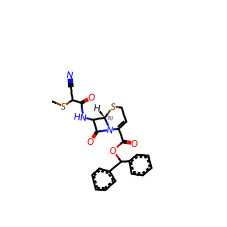 CSC(C#N)C(=O)NC1C(=O)N2C(C(=O)OC(c3ccccc3)c3ccccc3)=CCS[C@@H]12